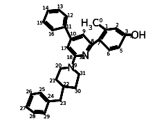 Cc1cc(O)ccc1-c1cc(-c2ccccc2)cc(N2CCC(Cc3ccccc3)CC2)n1